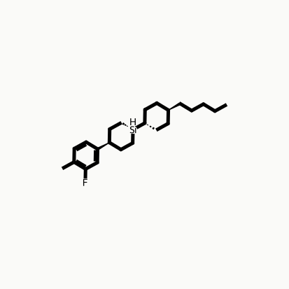 CCCCC[C@H]1CC[C@H]([Si@H]2CC[C@H](c3ccc(C)c(F)c3)CC2)CC1